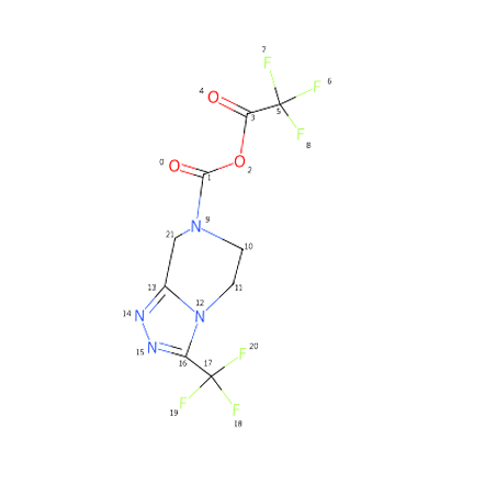 O=C(OC(=O)C(F)(F)F)N1CCn2c(nnc2C(F)(F)F)C1